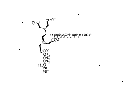 O.O.O.O.O.O.O.O.O.O.O.O.O=C([O-])CN(CCN(CC(=O)[O-])CC(=O)[O-])CC(=O)[O-].[Na+].[Na+].[Na+].[Na+]